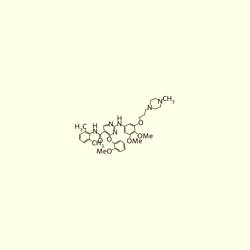 COc1ccccc1Oc1nc(Nc2cc(OC)c(OC)c(OCCCN3CCN(C)CC3)c2)ncc1C(=O)Nc1c(C)cccc1C